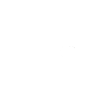 C=CCCc1cccc(C#N)c1CC